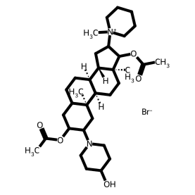 CC(=O)OC1CC2CC[C@@H]3[C@@H](CC[C@]4(C)C(OC(C)=O)C([N+]5(C)CCCCC5)C[C@@H]34)[C@@]2(C)CC1N1CCC(O)CC1.[Br-]